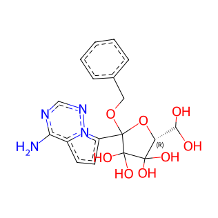 Nc1ncnn2c(C3(OCc4ccccc4)O[C@H](C(O)O)C(O)(O)C3(O)O)ccc12